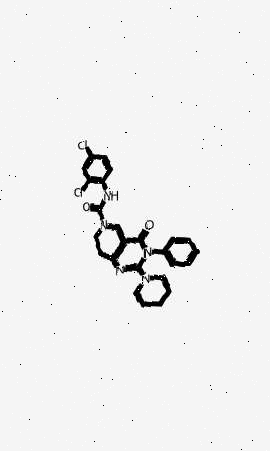 O=C(Nc1ccc(Cl)cc1Cl)N1CCc2nc(N3CCCCC3)n(-c3ccccc3)c(=O)c2C1